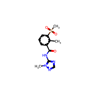 Cc1c(C(=O)Nc2ncnn2C)cccc1S(C)(=O)=O